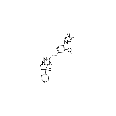 COc1cc(/C=C/c2nc3n(n2)CC[C@@]3(F)c2ccccc2)ccc1-n1cnc(C)c1